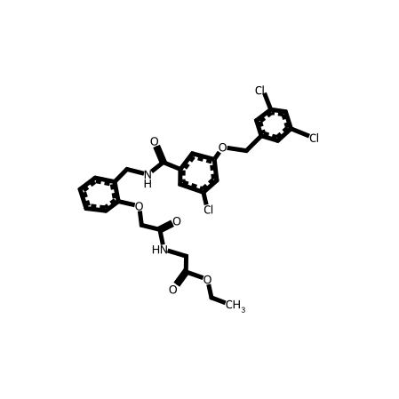 CCOC(=O)CNC(=O)COc1ccccc1CNC(=O)c1cc(Cl)cc(OCc2cc(Cl)cc(Cl)c2)c1